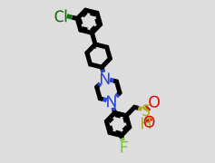 O=[SH](=O)Cc1cc(F)ccc1N1CCN(C2CC[C](c3cccc(Cl)c3)CC2)CC1